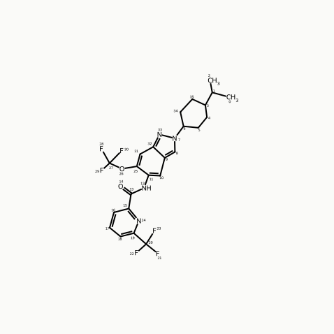 CC(C)C1CCC(n2cc3cc(NC(=O)c4cccc(C(F)(F)F)n4)c(OC(F)(F)F)cc3n2)CC1